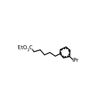 CCOC(=O)CCCCCc1cccc(C(C)C)c1